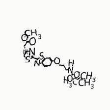 COC(=O)C[C@H]1CSC(c2nc3ccc(OCCCNC(=O)OC(C)(C)C)cc3s2)=N1